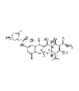 CN(C)[C@@H]1C(O)=C(C(N)=O)C(=O)[C@@]2(O)C(O)=C3C(=O)c4c(O)c(NC(=O)[C@@H]5C[C@@H](F)CN5C)cc(F)c4C[C@H]3C[C@@H]12